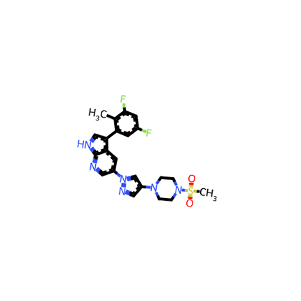 Cc1c(F)cc(F)cc1-c1c[nH]c2ncc(-n3cc(N4CCN(S(C)(=O)=O)CC4)cn3)cc12